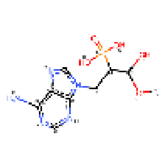 COC(O)C(Cn1cnc2c(N)ncnc21)P(=O)(O)O